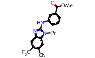 COC(=O)c1cccc(Nc2nc3cc(C(F)(F)F)c(C#N)cc3n2C(C)C)c1